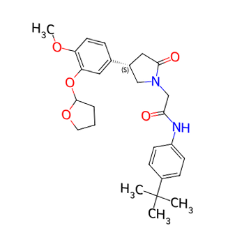 COc1ccc([C@@H]2CC(=O)N(CC(=O)Nc3ccc(C(C)(C)C)cc3)C2)cc1OC1CCCO1